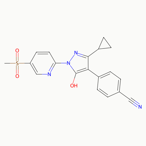 CS(=O)(=O)c1ccc(-n2nc(C3CC3)c(-c3ccc(C#N)cc3)c2O)nc1